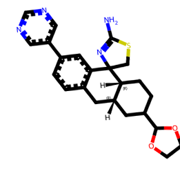 NC1=NC2(CS1)c1cc(-c3cncnc3)ccc1C[C@H]1CC(C3OCCO3)CC[C@H]12